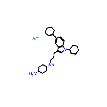 Cl.N[C@H]1CC[C@H](NCCCc2cn(C3CCCCC3)c3ccc(C4CCCCC4)cc23)CC1